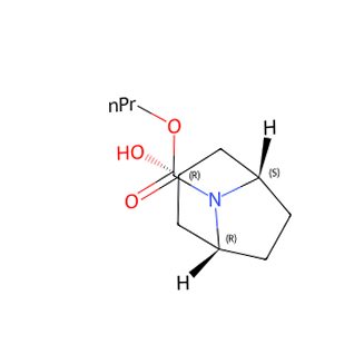 CCCOC(=O)N1[C@@H]2CC[C@H]1C[C@@H](O)C2